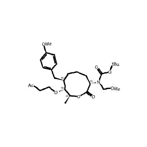 COCN(C(=O)OC(C)(C)C)[C@H]1CCC[C@H](Cc2ccc(OC)cc2)[C@@H](OCCC(C)=O)[C@H](C)OC1=O